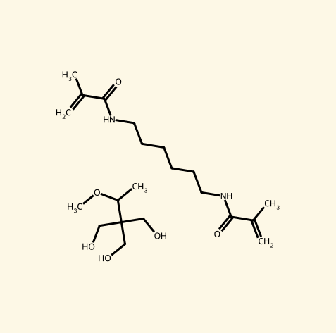 C=C(C)C(=O)NCCCCCCNC(=O)C(=C)C.COC(C)C(CO)(CO)CO